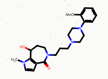 COc1ccccc1N1CCN(CCCN2CCC(O)c3c(ccn3C)C2=O)CC1